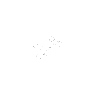 O=C1c2ccccc2-c2c1c1c3cc(-n4c5ccccc5c5ccccc54)ccc3[nH]c1c1ccccc21